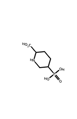 O=C(O)C1CCC(P(=O)(O)O)CN1